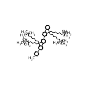 Cc1ccc(-c2ccc3c(c2)C(CCCCCC[N+](C)(C)C)(CCCCCC[N+](C)(C)C)c2cc(-c4ccc5c(c4)C(CCCCCC[N+](C)(C)C)(CCCCCC[N+](C)(C)C)c4ccccc4-5)ccc2-3)cc1